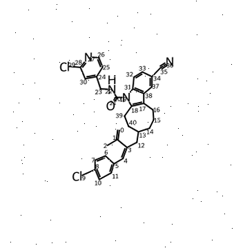 C=C(C)/C(=C\c1ccc(Cl)cc1)CC1CCCc2c(n(C(=O)NCc3ccnc(Cl)c3)c3ccc(C#N)cc23)CC1